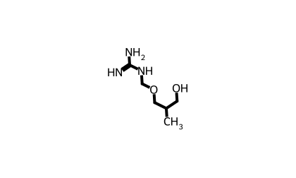 CC(CO)COCNC(=N)N